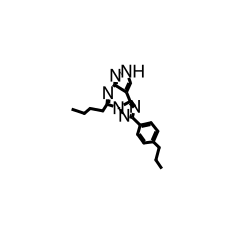 CCCCc1nc2n[nH]cc2c2nc(-c3ccc(CCC)cc3)nn12